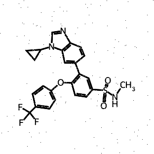 CNS(=O)(=O)c1ccc(Oc2ccc(C(F)(F)F)cc2)c(-c2ccc3ncn(C4CC4)c3c2)c1